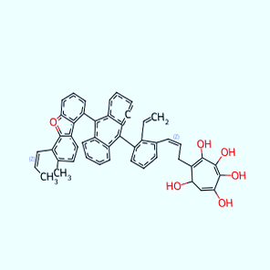 C=Cc1c(/C=C\CC2=C(O)C(O)=C(O)C(O)=CC2O)cccc1-c1c2ccccc2c(-c2cccc3oc4c(/C=C\C)c(C)ccc4c23)c2ccccc12